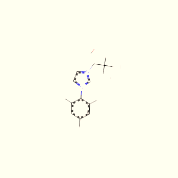 Cc1cc(C)c(-[n+]2ccn([C@H](CO)C(C)(C)C)c2)c(C)c1